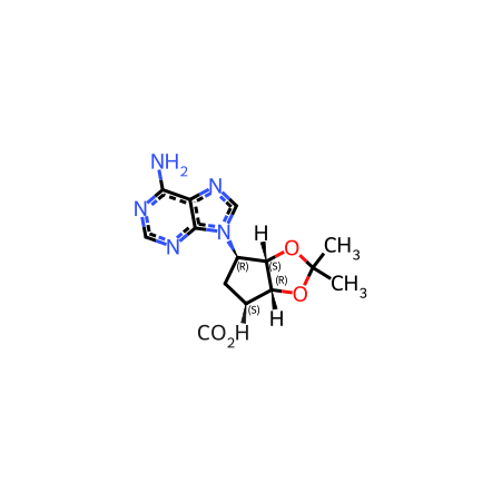 CC1(C)O[C@@H]2[C@H](O1)[C@@H](C(=O)O)C[C@H]2n1cnc2c(N)ncnc21